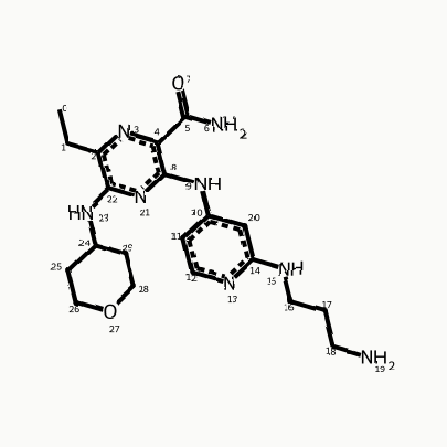 CCc1nc(C(N)=O)c(Nc2ccnc(NCCCN)c2)nc1NC1CCOCC1